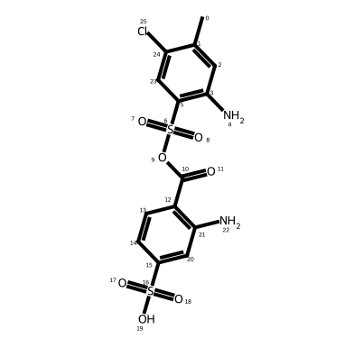 Cc1cc(N)c(S(=O)(=O)OC(=O)c2ccc(S(=O)(=O)O)cc2N)cc1Cl